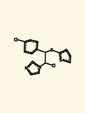 Clc1ccc(C(Sc2cccs2)C(Cl)n2ccnc2)cc1